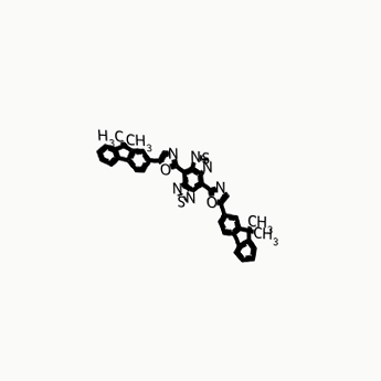 CC1(C)c2ccccc2-c2ccc(-c3cnc(-c4c5c(c(-c6ncc(-c7ccc8c(c7)C(C)(C)c7ccccc7-8)o6)c6nsnc46)N=S=N5)o3)cc21